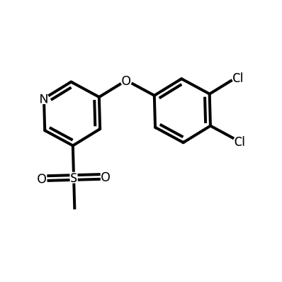 CS(=O)(=O)c1cncc(Oc2ccc(Cl)c(Cl)c2)c1